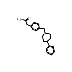 NC(=O)Cc1ccc(CN2CCC(c3ccccc3)CC2)cc1